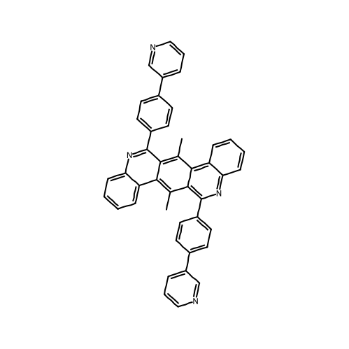 Cc1c2c(-c3ccc(-c4cccnc4)cc3)nc3ccccc3c2c(C)c2c(-c3ccc(-c4cccnc4)cc3)nc3ccccc3c12